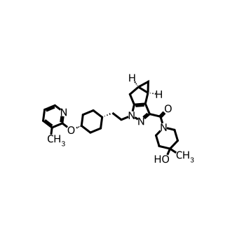 Cc1cccnc1O[C@H]1CC[C@@H](CCn2nc(C(=O)N3CCC(C)(O)CC3)c3c2C[C@H]2C[C@@H]32)CC1